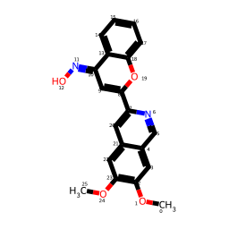 COc1cc2cnc(-c3cc(=NO)c4ccccc4o3)cc2cc1OC